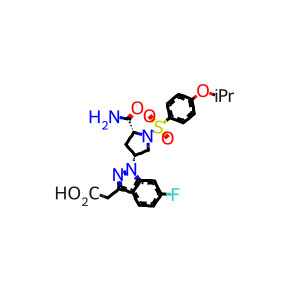 CC(C)Oc1ccc(S(=O)(=O)N2C[C@H](n3nc(CC(=O)O)c4ccc(F)cc43)C[C@@H]2C(N)=O)cc1